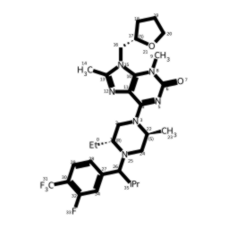 CC[C@@H]1CN(c2nc(=O)n(C)c3c2nc(C)n3C[C@@H]2CCCO2)[C@@H](C)CN1C(c1ccc(C(F)(F)F)c(F)c1)C(C)C